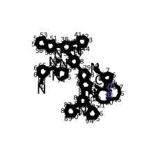 CCC1C(c2cccc(C#N)c2)C2=C(\CCCC/C=C\2)CCCC1n1c2cc3ccc(-c4ccc5c6c7c(cc8c9ccccc9n(c5c4)c86)c4cc5ccccc5cc4n7-c4nc(-c5cccc(C#N)c5)c5ncccc5n4)cc3cc2c2cc3c4ccccc4n4c5ccccc5c(c21)c34